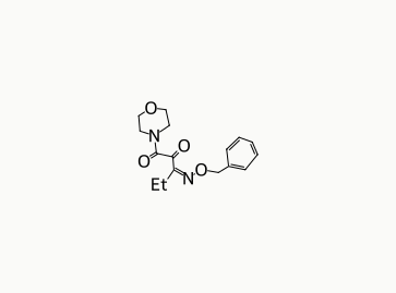 CCC(=NOCc1ccccc1)C(=O)C(=O)N1CCOCC1